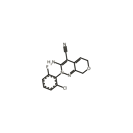 N#CC1=C(N)N(c2c(F)cccc2Cl)N=C2COCC=C21